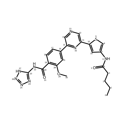 CCCCC(=O)Nc1csc(-c2cncc(-c3ccc(C(=O)Nc4nnn[nH]4)c(OC)c3)n2)c1